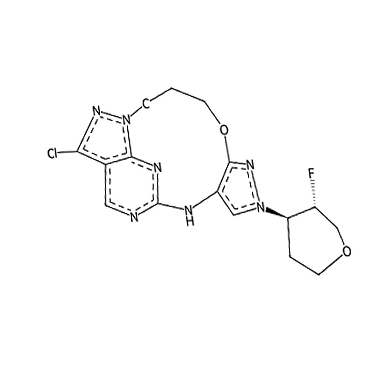 F[C@@H]1COCC[C@H]1n1cc2c(n1)OCCCn1nc(Cl)c3cnc(nc31)N2